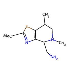 COc1nc2c(s1)C(C)CN(C)C2CN